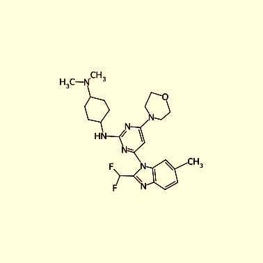 Cc1ccc2nc(C(F)F)n(-c3cc(N4CCOCC4)nc(NC4CCC(N(C)C)CC4)n3)c2c1